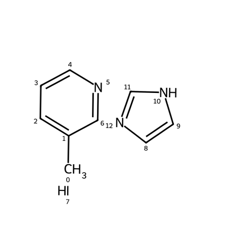 Cc1cccnc1.I.c1c[nH]cn1